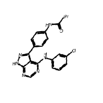 CC(C)C(=O)Nc1ccc(-c2n[nH]c3ncnc(Nc4cccc(Cl)c4)c23)cc1